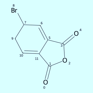 O=C1OC(=O)C2=CC(Br)CC=C12